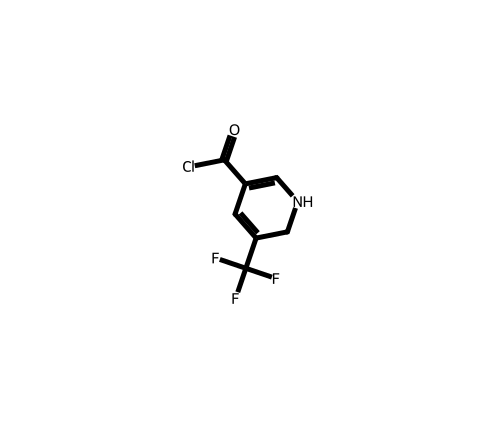 O=C(Cl)C1=CNCC(C(F)(F)F)=C1